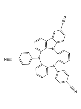 N#Cc1ccc(-n2c3ccccc3n3c4ccc(C#N)cc4c4cccc(c43)n3c4ccc(C#N)cc4c4cccc2c43)cc1